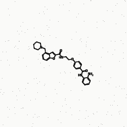 Nc1ccccc1NC(=O)c1ccc(OCCNC(=O)c2cc3c(CN4CCCCC4)cccc3o2)cc1